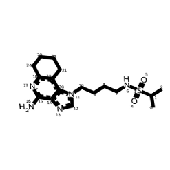 CC(C)S(=O)(=O)NCCCCn1cnc2c(N)nc3c(c21)CCCC3